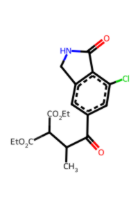 CCOC(=O)C(C(=O)OCC)C(C)C(=O)c1cc(Cl)c2c(c1)CNC2=O